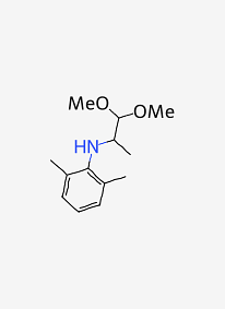 COC(OC)C(C)Nc1c(C)cccc1C